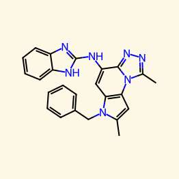 Cc1cc2c(cc(Nc3nc4ccccc4[nH]3)c3nnc(C)n32)n1Cc1ccccc1